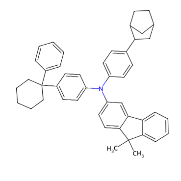 CC1(C)c2ccccc2-c2cc(N(c3ccc(C4CC5CCC4C5)cc3)c3ccc(C4(c5ccccc5)CCCCC4)cc3)ccc21